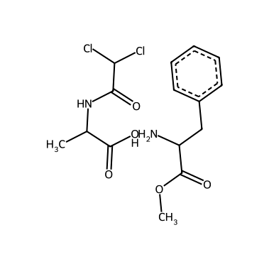 CC(NC(=O)C(Cl)Cl)C(=O)O.COC(=O)C(N)Cc1ccccc1